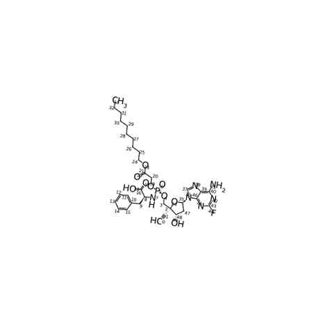 C#C[C@]1(COP(=O)(N[C@@H](Cc2ccccc2)C(=O)O)OCC(=O)OCCCCCCCCCC)O[C@@H](n2cnc3c(N)nc(F)nc32)C[C@@H]1O